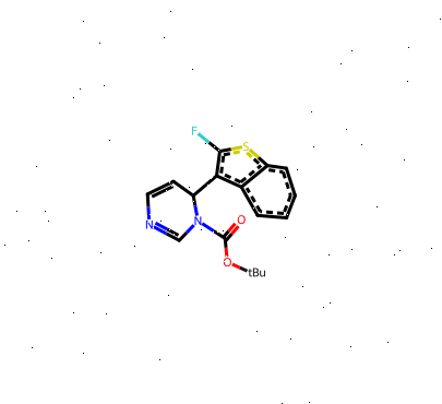 CC(C)(C)OC(=O)N1C=NC=CC1c1c(F)sc2ccccc12